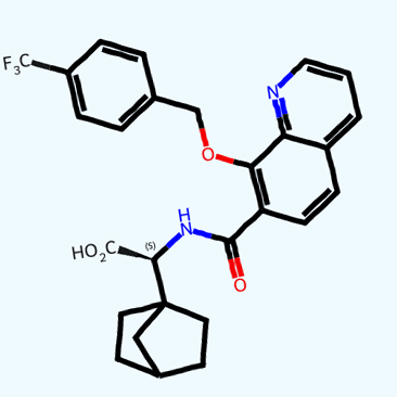 O=C(N[C@H](C(=O)O)C12CCC(CC1)C2)c1ccc2cccnc2c1OCc1ccc(C(F)(F)F)cc1